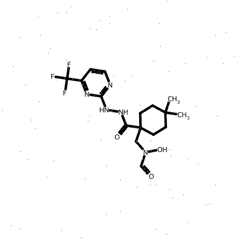 CC1(C)CCC(CN(O)C=O)(C(=O)NNc2nccc(C(F)(F)F)n2)CC1